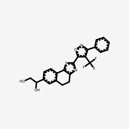 OCC(O)c1ccc2c(c1)CCc1nc(-c3onc(-c4ccccc4)c3C(F)(F)F)sc1-2